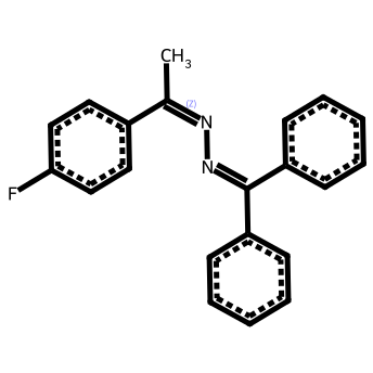 C/C(=N/N=C(c1ccccc1)c1ccccc1)c1ccc(F)cc1